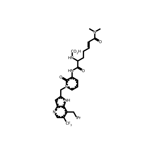 CC(C)Cc1c(C(F)(F)F)cnc2cc(Cn3cccc(NC(=O)C(CC/C=C/C(=O)N(C)C)NC(=O)O)c3=O)[nH]c12